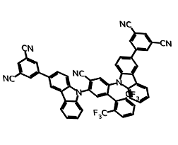 N#Cc1cc(C#N)cc(-c2ccc3c(c2)c2ccccc2n3-c2cc(-c3c(C(F)(F)F)cccc3C(F)(F)F)c(-n3c4ccccc4c4cc(-c5cc(C#N)cc(C#N)c5)ccc43)cc2C#N)c1